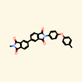 Cc1ccc(Oc2ccc(N3C(=O)c4ccc(-c5ccc6c(c5)C(=O)N(C)C6=O)cc4C3=O)cc2)cc1